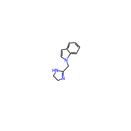 c1ccc2c(c1)ccn2CC1=NCCN1